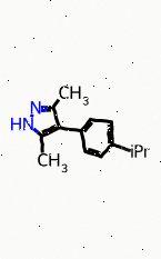 Cc1n[nH]c(C)c1-c1ccc(C(C)C)cc1